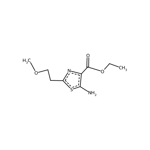 CCOC(=O)c1nc(CCOC)sc1N